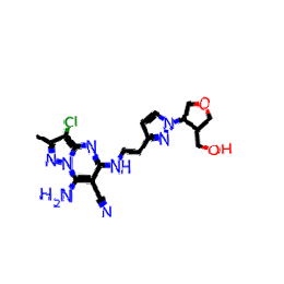 Cc1nn2c(N)c(C#N)c(NCCc3ccn(C4COCC4CO)n3)nc2c1Cl